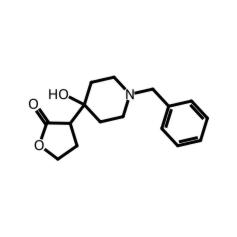 O=C1OCCC1C1(O)CCN(Cc2ccccc2)CC1